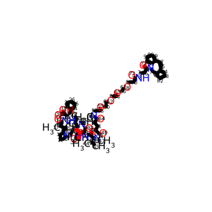 CC[C@H](C)[C@@H]([C@@H](CC(=O)N1CCCC1[C@H](C)[C@@H](C)C(=O)N[C@H](Cc1ccccc1)C(=O)O)OC)N(C)C(=O)[C@@H](NC(=O)[C@H](C(C)C)N(C)C(=O)CCCC(=O)N(C)CCOCCOCCOCCOCCC(=O)NCCC(=O)N1Cc2ccccc2C#Cc2ccccc21)C(C)C